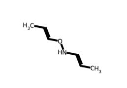 CC=CNOC=CC